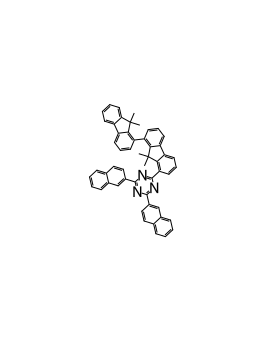 CC1(C)c2ccccc2-c2cccc(-c3cccc4c3C(C)(C)c3c(-c5nc(-c6ccc7ccccc7c6)nc(-c6ccc7ccccc7c6)n5)cccc3-4)c21